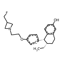 CC[C@H]1CCc2cc(O)ccc2[C@H]1c1ccc(OCCN2CC(CF)C2)cc1